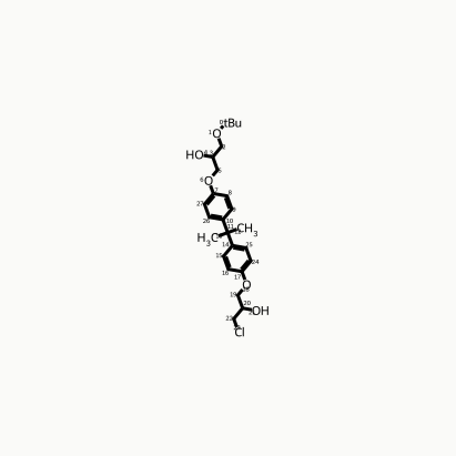 CC(C)(C)OCC(O)COc1ccc(C(C)(C)c2ccc(OCC(O)CCl)cc2)cc1